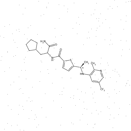 Cc1ncc(C(F)(F)F)cc1N[C@H](C)c1ccc(C(=O)NC(CC2CCCC2)C(N)=O)s1